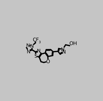 OCCn1cc(-c2ccc3c(c2)OCCc2sc(-c4ncnn4CC(F)(F)F)nc2-3)cn1